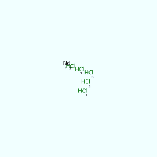 Cl.Cl.Cl.Cl.Cl.[Nd]